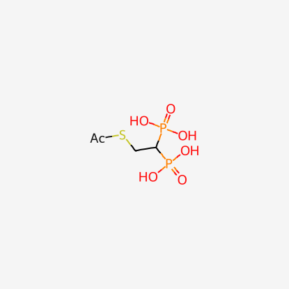 CC(=O)SCC(P(=O)(O)O)P(=O)(O)O